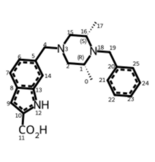 C[C@@H]1CN(Cc2ccc3cc(C(=O)O)[nH]c3c2)C[C@H](C)N1Cc1ccccc1